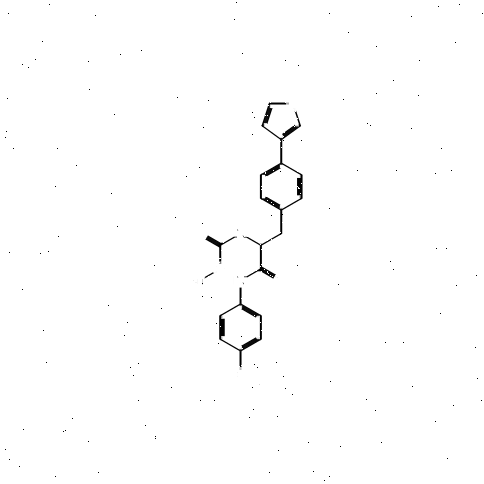 CC(C)(C)OC(=O)NC(Cc1ccc(-c2ccoc2)cc1)C(=O)Nc1ccc(C(=O)O)cc1